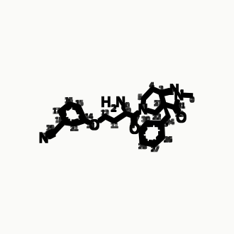 CN1N=C2CCN(C(=O)[C@H](N)CCOc3cccc(C#N)c3)C[C@@]2(Cc2ccccc2)C1=O